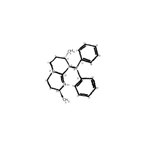 C[C@H]1CCN2CC[C@H](C)N(P(c3ccccc3)c3ccccc3)C2=N1